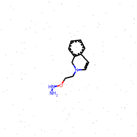 NNOCCN1C=Cc2ccccc2C1